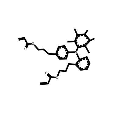 C=CC(=O)OCCCc1ccc(N(c2ccccc2CCCOC(=O)C=C)c2c(C)c(C)c(C)c(C)c2C)cc1